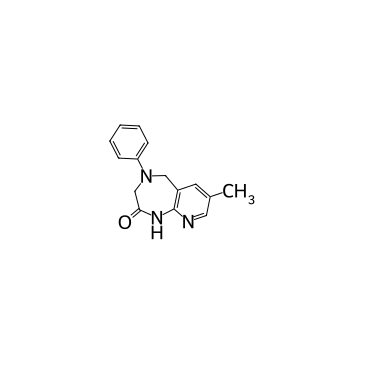 Cc1cnc2c(c1)CN(c1ccccc1)CC(=O)N2